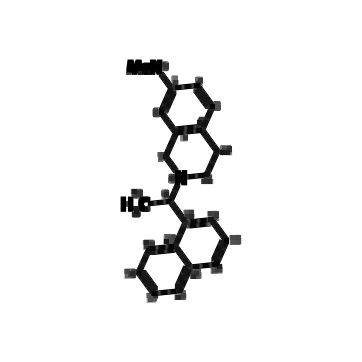 CNc1ccc2c(c1)CN(C(C)c1cccc3ccccc13)CC2